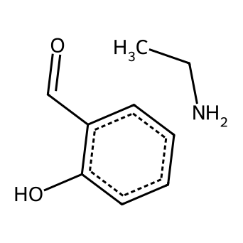 CCN.O=Cc1ccccc1O